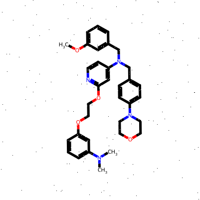 COc1cccc(CN(Cc2ccc(N3CCOCC3)cc2)c2ccnc(OCCOc3cccc(N(C)C)c3)c2)c1